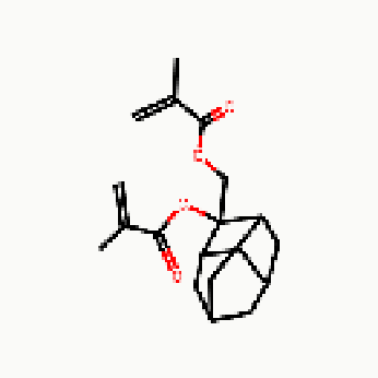 C=C(C)C(=O)OCC1(OC(=O)C(=C)C)C2CC3CC(C2)CC1C3